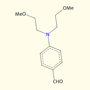 COCCN(CCOC)c1ccc(C=O)cc1